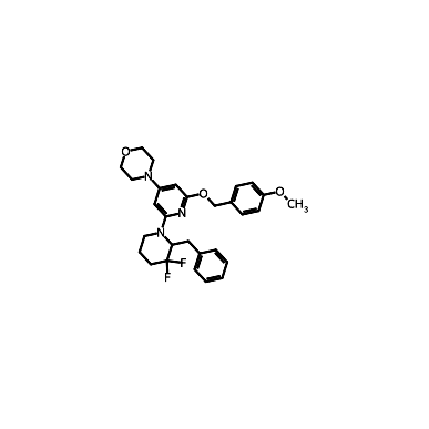 COc1ccc(COc2cc(N3CCOCC3)cc(N3CCCC(F)(F)C3Cc3ccccc3)n2)cc1